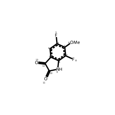 COc1c(F)cc2c(c1F)NC(=O)C2=O